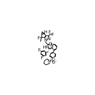 O=C(Cn1nc(C(F)F)c2c1C(F)(F)C1C[C@H]21)N[C@@H](Cc1cc(F)cc(F)c1)c1ncccc1-c1ccc([S+]([O-])N2CCCCC2)cc1